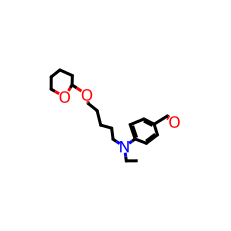 CCN(CCCCCOC1CCCCO1)c1ccc(C=O)cc1